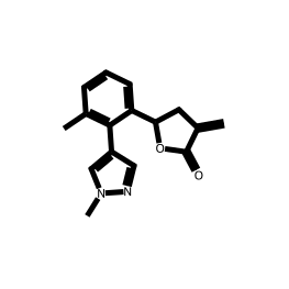 C=C1CC(c2cccc(C)c2-c2cnn(C)c2)OC1=O